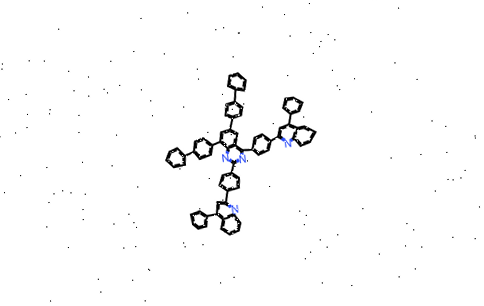 c1ccc(-c2ccc(-c3cc(-c4ccc(-c5ccccc5)cc4)c4nc(-c5ccc(-c6cc(-c7ccccc7)c7ccccc7n6)cc5)nc(-c5ccc(-c6cc(-c7ccccc7)c7ccccc7n6)cc5)c4c3)cc2)cc1